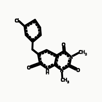 Cn1c(=O)c2cc(Cc3cccc(Cl)c3)c(=O)[nH]c2n(C)c1=O